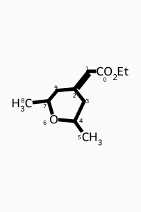 CCOC(=O)C=C1CC(C)OC(C)C1